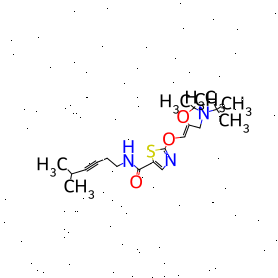 CC(C)C#CCCNC(=O)c1cnc(O/C=C2/CN(C(C)(C)C)C(C)(C)O2)s1